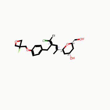 CC/C(Cl)=C(\C=C(/C)[C@H]1C[C@@H](O)C[C@@H](CO)O1)Cc1ccc(OCC2(F)COC2)cc1